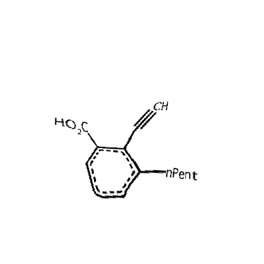 C#Cc1c(CCCCC)cccc1C(=O)O